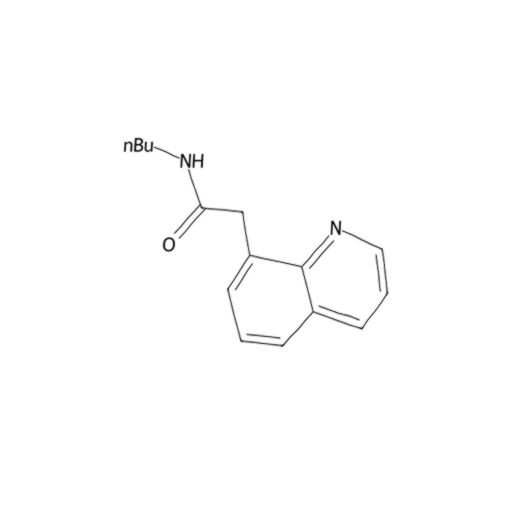 CCCCNC(=O)Cc1cccc2cccnc12